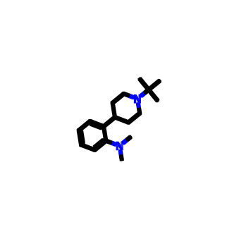 CN(C)c1ccccc1C1CCN(C(C)(C)C)CC1